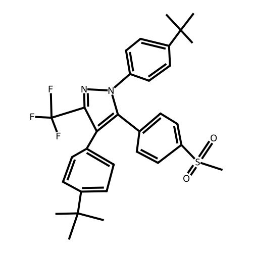 CC(C)(C)c1ccc(-c2c(C(F)(F)F)nn(-c3ccc(C(C)(C)C)cc3)c2-c2ccc(S(C)(=O)=O)cc2)cc1